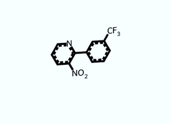 O=[N+]([O-])c1cccnc1-c1cccc(C(F)(F)F)c1